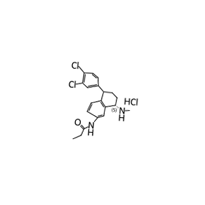 CCC(=O)Nc1ccc2c(c1)[C@@H](NC)CCC2c1ccc(Cl)c(Cl)c1.Cl